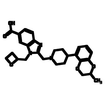 CC1COc2c(cccc2C2CCN(Cc3nc4ccc(C(=O)O)cc4n3CC3CCO3)CC2)O1